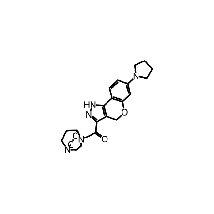 O=C(c1n[nH]c2c1COc1cc(N3CCCC3)ccc1-2)N1CCN2CCC1CC2